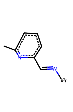 Cc1cccc(/C=N/C(C)C)n1